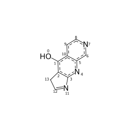 Oc1c2c(nc3cnccc13)N=CC2